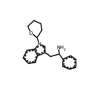 NC(Cc1cn(C2CCCCO2)c2ccccc12)c1ccccc1